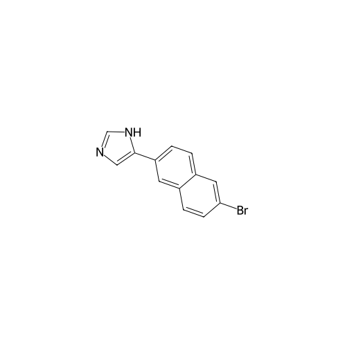 Brc1ccc2cc(-c3cnc[nH]3)ccc2c1